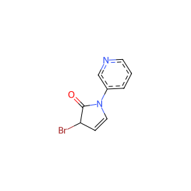 O=C1C(Br)C=CN1c1cccnc1